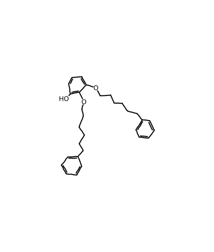 Oc1cccc(OCCCCCCc2ccccc2)c1OCCCCCCc1ccccc1